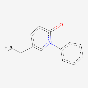 BCc1ccc(=O)n(-c2ccccc2)c1